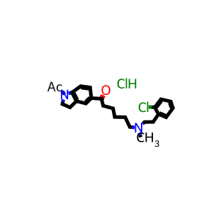 CC(=O)N1CCc2cc(C(=O)CCCCCN(C)CCc3ccccc3Cl)ccc21.Cl